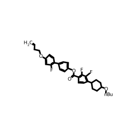 C=CCCOc1ccc(-c2ccc(OC(=O)c3ccc(C4CCC(OCCCC)CC4)c(F)c3F)cc2)c(F)c1